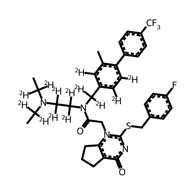 [2H]c1c([2H])c(C([2H])([2H])N(C(=O)Cn2c(SCc3ccc(F)cc3)nc(=O)c3c2CCC3)C([2H])([2H])C([2H])([2H])N(C([2H])([2H])C)C([2H])([2H])C)c([2H])c(C)c1-c1ccc(C(F)(F)F)cc1